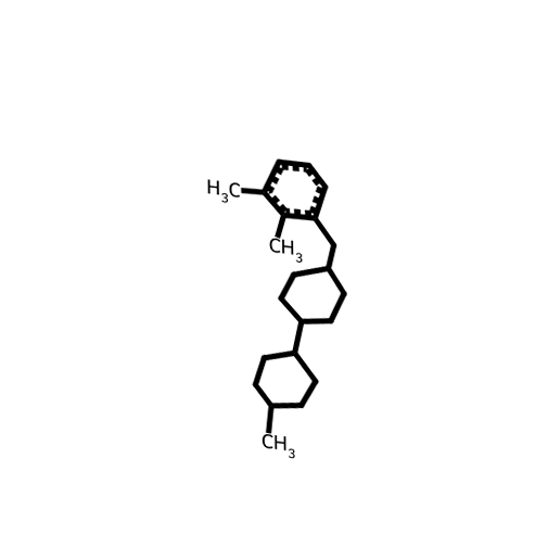 Cc1cccc(CC2CCC(C3CCC(C)CC3)CC2)c1C